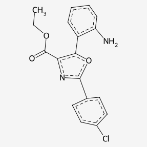 CCOC(=O)c1nc(-c2ccc(Cl)cc2)oc1-c1ccccc1N